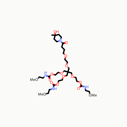 COCCNC(=O)OCCOCC(COCCOCCCC(=O)N1CCC(C)(O)CC1)(COCCOC(=O)NCCOC)COCCOC(=O)NCCOC